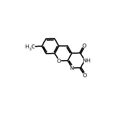 Cc1ccc2cc3c(=O)[nH]c(=O)nc-3oc2c1